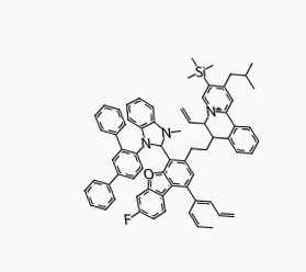 C=C/C=C(\C=C/C)c1cc(CCC2c3ccccc3-c3cc(CC(C)C)c([Si](C)(C)C)c[n+]3C2C=C)c(C2N(C)c3ccccc3N2c2ccc(-c3ccccc3)cc2-c2ccccc2)c2oc3cc(F)ccc3c12